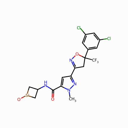 Cn1nc(C2=NOC(c3cc(Cl)cc(Cl)c3)(C(F)(F)F)C2)cc1C(=O)NC1C[S+]([O-])C1